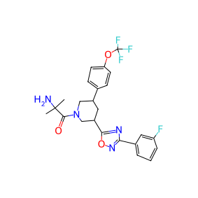 CC(C)(N)C(=O)N1CC(c2ccc(OC(F)(F)F)cc2)CC(c2nc(-c3cccc(F)c3)no2)C1